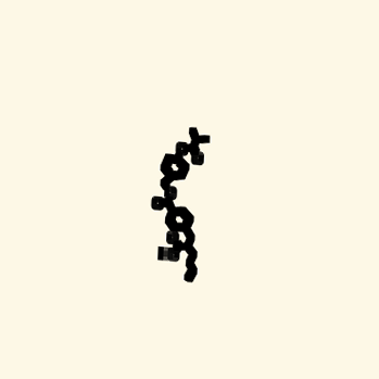 C=CCCC(Cc1ccc(C(=O)OCc2ccc(OC(=O)C(C)C)cc2)cc1)C(=O)O